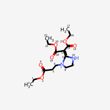 CCOC(=O)CCN1CCNC1=C(C(=O)OCC)C(=O)OCC